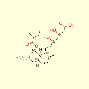 C/C=C/[C@@H]1C[C@H](OC(=O)[C@@H](C)CC)[C@@H]2[C@@H](CC[C@@H](O)C[C@@H](O)CC(=O)O)[C@@H](C)C=C[C@H]2C1